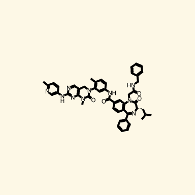 Cc1ccc(Nc2ncc3c(n2)N(C)C(=O)N(c2cc(NC(=O)c4ccc5c(c4)N(CC(=O)NCc4ccccc4)C(=O)[C@H](CC(C)C)N=C5c4ccccc4)ccc2C)C3)cn1